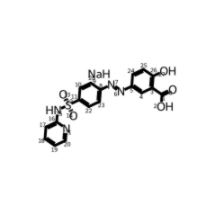 O=C(O)c1cc(N=Nc2ccc(S(=O)(=O)Nc3ccccn3)cc2)ccc1O.[NaH]